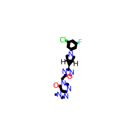 Cn1cnc2ncn(Cc3nc([C@H]4[C@@H]5CN(c6cc(F)cc(Cl)c6)C[C@@H]54)no3)c(=O)c21